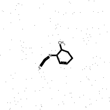 CC1CCC=CC1N=C=S